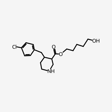 O=C(OCCCCCO)C1CNCCC1Cc1ccc(Cl)cc1